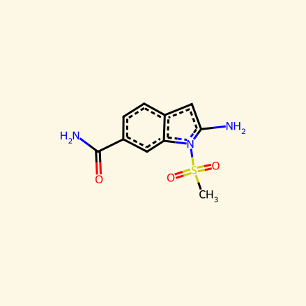 CS(=O)(=O)n1c(N)cc2ccc(C(N)=O)cc21